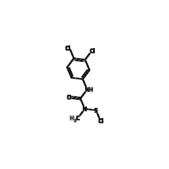 CN(SCl)C(=O)Nc1ccc(Cl)c(Cl)c1